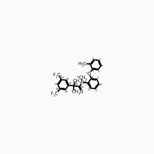 Cc1ccccc1Oc1ccccc1N(C)C(=O)C(C)(C)c1cc(C(F)(F)F)cc(C(F)(F)F)c1